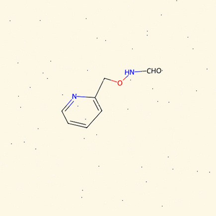 O=[C]NOCc1ccccn1